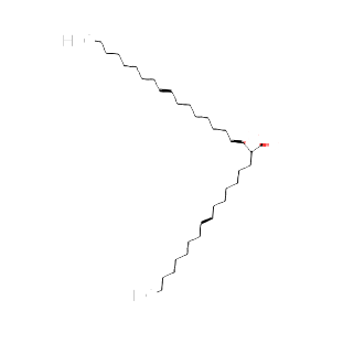 CCCCCCCC/C=C/CCCCCC/C=C1\OC(=O)C1CCCCCC/C=C/CCCCCCCC